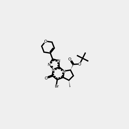 C[C@H]1C[C@@H](C(=O)OC(C)(C)C)n2c1c(Br)c(=O)n1nc(C3=CCOCC3)nc21